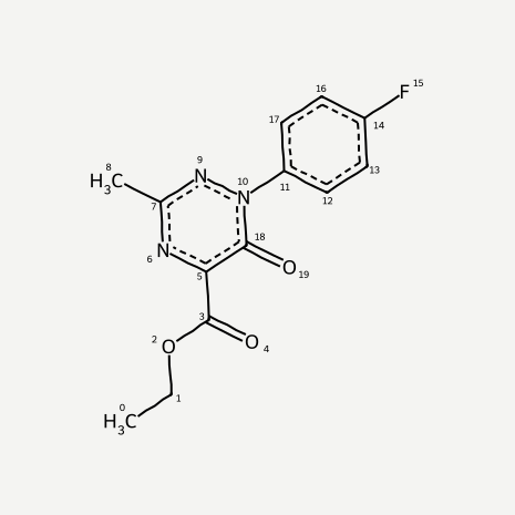 CCOC(=O)c1nc(C)nn(-c2ccc(F)cc2)c1=O